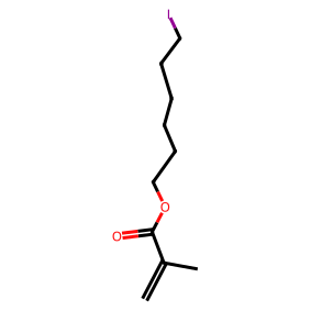 C=C(C)C(=O)OCCCCCCI